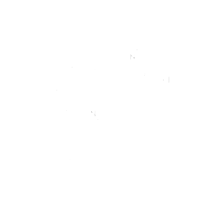 CC(Br)c1ccc2cnc(Cl)cc2n1